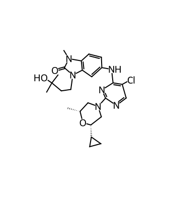 C[C@@H]1CN(c2ncc(Cl)c(Nc3ccc4c(c3)n(CCC(C)(C)O)c(=O)n4C)n2)C[C@H](C2CC2)O1